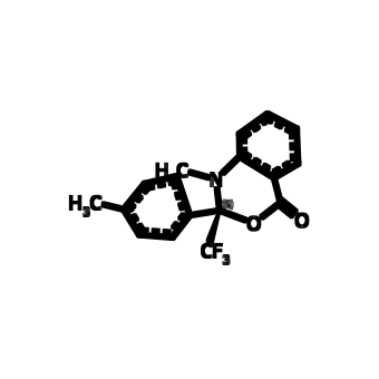 Cc1ccc([C@@]2(C(F)(F)F)OC(=O)c3ccccc3N2C)cc1